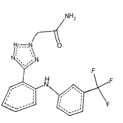 NC(=O)Cn1nnc(-c2ccccc2Nc2cccc(C(F)(F)F)c2)n1